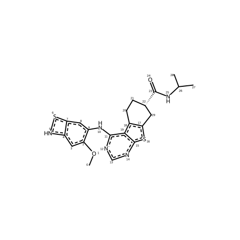 COc1cc2[nH]sc2cc1Nc1ncnc2sc3c(c12)CC[C@H](C(=O)NC(C)C)C3